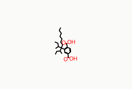 CCCCCCCC(c1cc(C(=O)O)ccc1C(=O)O)(C(C)CC)C(C)CC